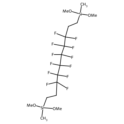 CO[Si](C)(CCC(F)(F)C(F)(F)C(F)(F)C(F)(F)C(F)(F)C(F)(F)CC[Si](C)(OC)OC)OC